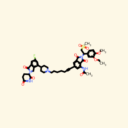 CCOc1cc(C(CS(C)(=O)=O)N2C(=O)c3cc(C#CCCCCCN4CCC(c5cc(F)cc6c5CN(C5CCC(=O)NC5=O)C6=O)CC4)cc(NC(C)=O)c3C2=O)ccc1OC